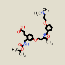 Cc1oc(-c2cccc(OCCCN(C)C)c2)nc1CCOc1ccc(CCC(=O)O)c(CNC(=O)OC(C)C)c1